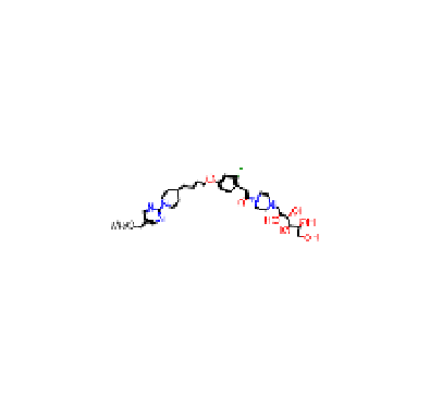 COCc1cnc(N2CCC(CCCCOc3ccc(CC(=O)N4CCN(C[C@H](O)[C@@H](O)[C@H](O)[C@H](O)CO)CC4)c(F)c3)CC2)nc1